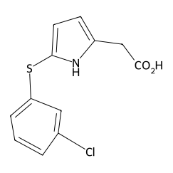 O=C(O)Cc1ccc(Sc2cccc(Cl)c2)[nH]1